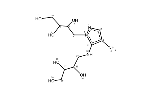 Nc1cnn(CC(O)C(O)CO)c1NCC(O)C(O)CO